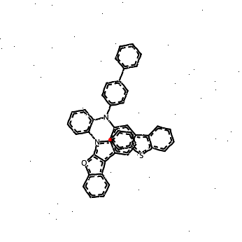 c1ccc(-c2ccc(N(c3ccc4sc5ccccc5c4c3)c3ccccc3-n3c4ccccc4c4c5ccccc5oc43)cc2)cc1